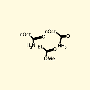 CCC(=O)OC.CCCCCCCCC(N)=O.CCCCCCCCC(N)=O